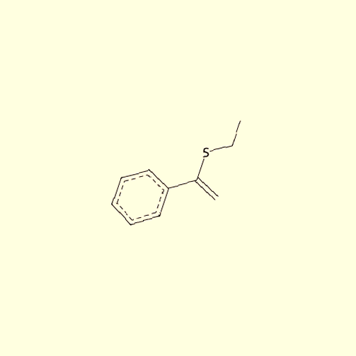 C=C(SCC)c1ccccc1